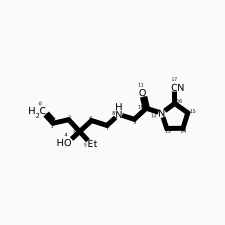 C=CCC(O)(CC)CCNCC(=O)N1CCCC1C#N